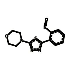 O=Nc1ccccc1-c1nnc(N2CCOCC2)s1